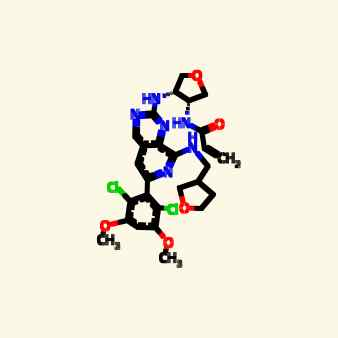 C=CC(=O)N[C@H]1COC[C@H]1Nc1ncc2cc(-c3c(Cl)c(OC)cc(OC)c3Cl)nc(NCC3CCOC3)c2n1